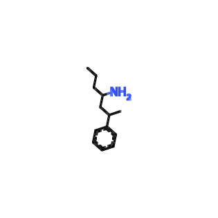 CCCC(N)CC(C)c1ccccc1